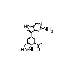 CC(=O)c1cc(-c2c[nH]c3cnc(N)cc23)cc2c1NNC2